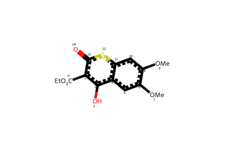 CCOC(=O)c1c(O)c2cc(OC)c(OC)cc2sc1=O